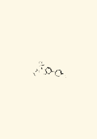 C=C(C)C(=O)OC(c1ccc(-c2ccc(OC)cc2)cc1F)C(C)(C)O